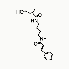 CC(CCO)C(=O)NCCCCNC(=O)C=Cc1ccccc1